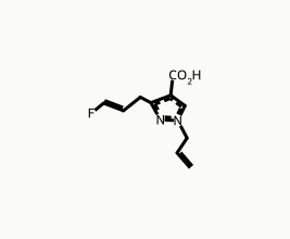 C=CCn1cc(C(=O)O)c(CC=CF)n1